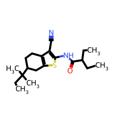 CCC(CC)C(=O)Nc1sc2c(c1C#N)CCC(C(C)(C)CC)C2